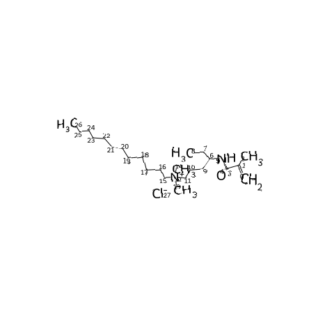 C=C(C)C(=O)NC(CC)CCC[N+](C)(C)CCCCCCCCCCCC.[Cl-]